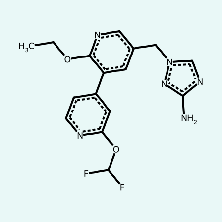 CCOc1ncc(Cn2cnc(N)n2)cc1-c1ccnc(OC(F)F)c1